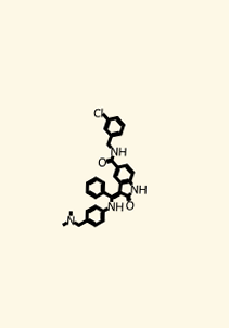 CN(C)Cc1ccc(N/C(=C2\C(=O)Nc3ccc(C(=O)NCc4cccc(Cl)c4)cc32)c2ccccc2)cc1